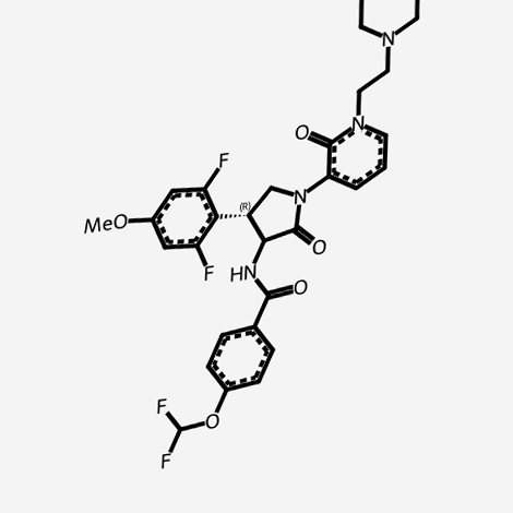 COc1cc(F)c([C@@H]2CN(c3cccn(CCN4CCOCC4)c3=O)C(=O)C2NC(=O)c2ccc(OC(F)F)cc2)c(F)c1